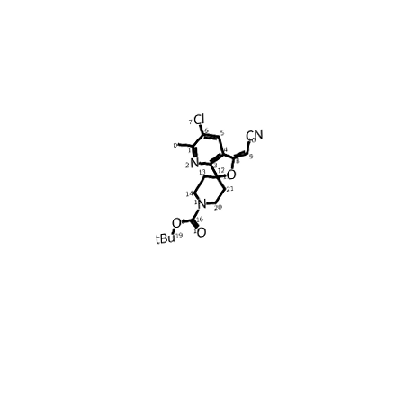 Cc1nc2c(cc1Cl)/C(=C\C#N)OC21CCN(C(=O)OC(C)(C)C)CC1